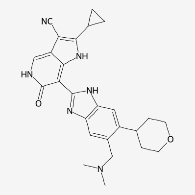 CN(C)Cc1cc2nc(-c3c(=O)[nH]cc4c(C#N)c(C5CC5)[nH]c34)[nH]c2cc1C1CCOCC1